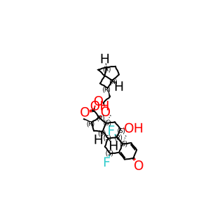 C[C@@H]1C[C@H]2[C@@H]3C[C@H](F)C4=CC(=O)C=C[C@]4(C)[C@@]3(F)[C@@H](O)C[C@]2(C)[C@@]1(OC(=O)C[C@H]1CC23C[C@H]2CC[C@H]13)C(=O)O